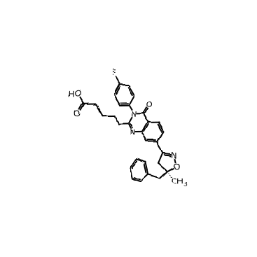 C[C@]1(Cc2ccccc2)CC(c2ccc3c(=O)n(-c4ccc(F)cc4)c(CCCCC(=O)O)nc3c2)=NO1